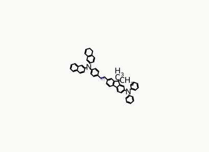 CC1(C)c2cc(/C=C/c3ccc(N(c4ccc5c(c4)C=CCC5)c4ccc5ccccc5c4)cc3)ccc2-c2ccc(N(c3ccccc3)c3ccccc3)cc21